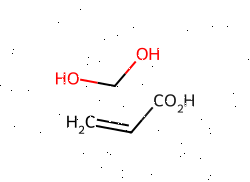 C=CC(=O)O.OCO